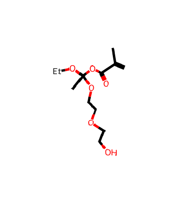 C=C(C)C(=O)OC(C)(OCC)OCCOCCO